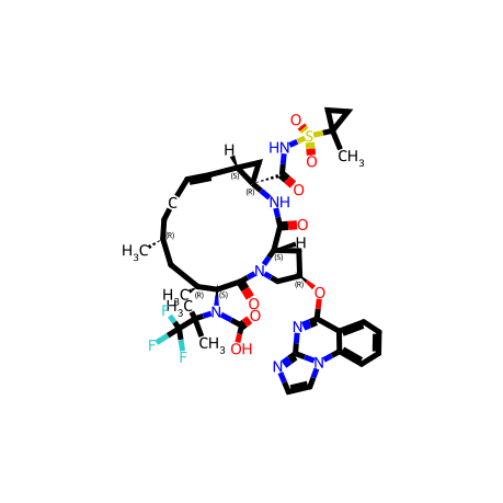 C[C@@H]1CCC=C[C@@H]2C[C@@]2(C(=O)NS(=O)(=O)C2(C)CC2)NC(=O)[C@@H]2C[C@@H](Oc3nc4nccn4c4ccccc34)CN2C(=O)[C@@H](N(C(=O)O)C(C)(C)C(F)(F)F)[C@H](C)C1